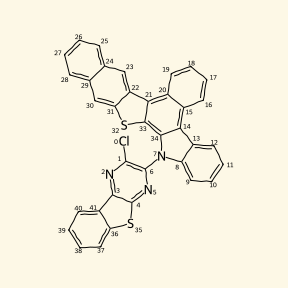 Clc1nc2c(nc1-n1c3ccccc3c3c4ccccc4c4c5cc6ccccc6cc5sc4c31)sc1ccccc12